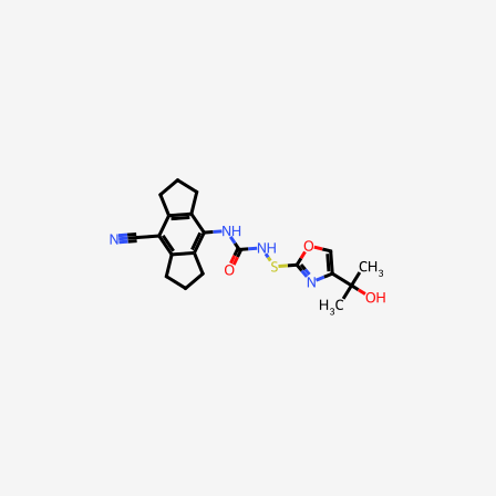 CC(C)(O)c1coc(SNC(=O)Nc2c3c(c(C#N)c4c2CCC4)CCC3)n1